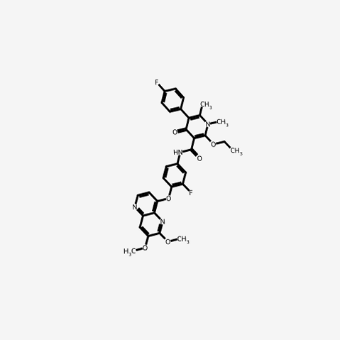 CCOc1c(C(=O)Nc2ccc(Oc3ccnc4cc(OC)c(OC)nc34)c(F)c2)c(=O)c(-c2ccc(F)cc2)c(C)n1C